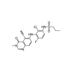 C#Cc1c(Nc2c(F)ccc(NS(=O)(=O)CCC)c2Cl)ccc2ncn(C)c(=O)c12